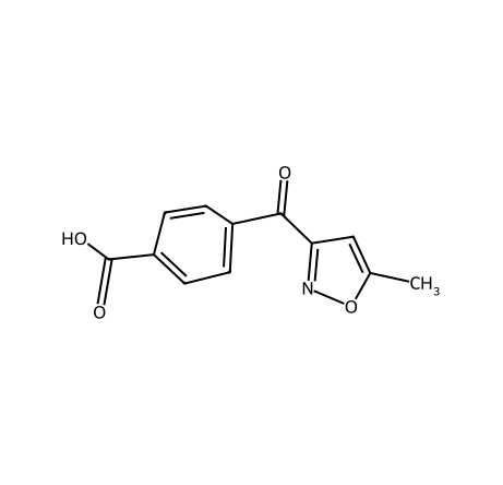 Cc1cc(C(=O)c2ccc(C(=O)O)cc2)no1